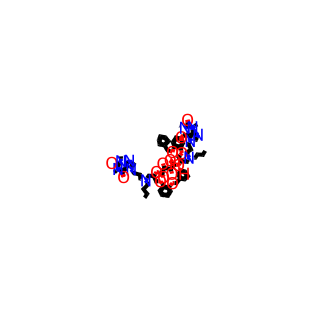 CCCCN(CCCn1cnc2c1c(=O)n(C)c(=O)n2C)CC(COc1ccccc1OCc1ccccc1)OC(=O)C(O)C(O)C(=O)OC(COc1ccccc1OCc1ccccc1)CN(CCCC)CCCn1cnc2c1c(=O)n(C)c(=O)n2C